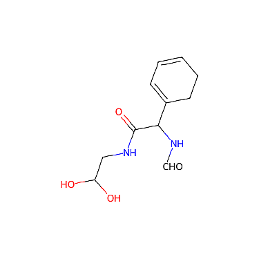 O=CNC(C(=O)NCC(O)O)C1=CC=CCC1